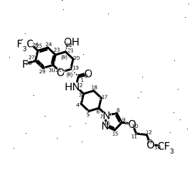 O=C(NC1CCC(n2cc(OCCOC(F)(F)F)cn2)CC1)[C@H]1C[C@@H](O)c2cc(C(F)(F)F)c(F)cc2O1